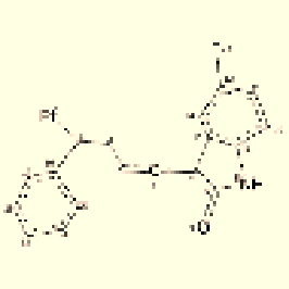 CCC(CC=C=C1C(=O)Nc2ccc(F)cc21)c1ccccc1